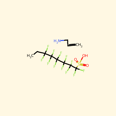 C=CCN.CCC(F)(F)C(F)(F)C(F)(F)C(F)(F)C(F)(F)C(F)(F)S(=O)(=O)O